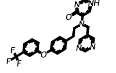 O=c1nc[nH]cc1N(CCc1ccc(Oc2cccc(C(F)(F)F)c2)cc1)Cc1cncnc1